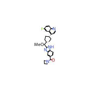 CO[C@@H](c1nc2cc(C(=O)N3CCC3)ccc2[nH]1)[C@H]1CC[C@@H](c2ccnc3ccc(F)cc32)CC1